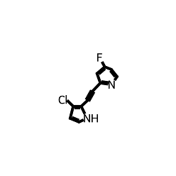 Fc1ccnc(C#Cc2[nH]ccc2Cl)c1